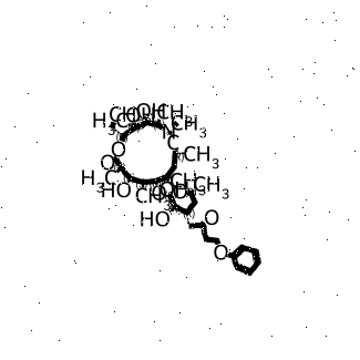 CC[C@H]1OC(=O)[C@H](C)[C@@H](O)[C@H](C)[C@@H](O[C@@H]2O[C@H](C)C[C@H](CC(=O)CCOc3ccccc3)[C@H]2O)[C@](C)(O)C[C@@H](C)CN(C)[C@H](C)[C@@H](O)[C@]1(C)O